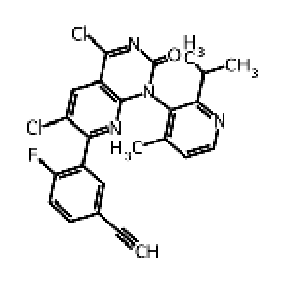 C#Cc1ccc(F)c(-c2nc3c(cc2Cl)c(Cl)nc(=O)n3-c2c(C)ccnc2C(C)C)c1